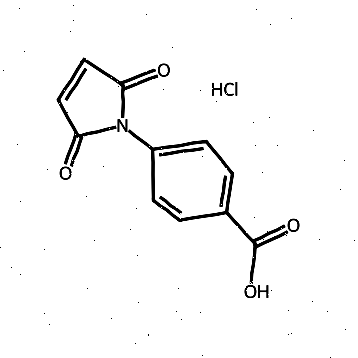 Cl.O=C(O)c1ccc(N2C(=O)C=CC2=O)cc1